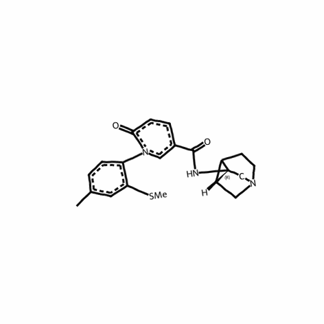 CSc1cc(C)ccc1-n1cc(C(=O)N[C@H]2CN3CCC2CC3)ccc1=O